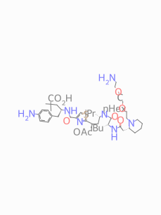 CCCCCCN(C(=O)[C@@H](NC(=O)C[C@H]1CCCCN1CCOCCOCCN)[C@@H](C)CC)[C@H](C[C@@H](OC(C)=O)c1nc(C(=O)N[C@@H](Cc2ccc(N)cc2)CC(C)(C)C(=O)O)cs1)C(C)C